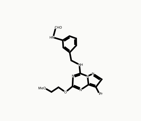 COCCOc1nc(NCc2cccc(NC=O)c2)n2ncc(C(C)C)c2n1